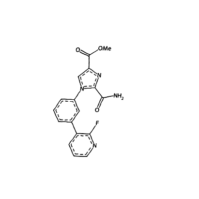 COC(=O)c1cn(-c2cccc(-c3cccnc3F)c2)c(C(N)=O)n1